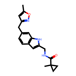 Cc1cc(Cc2ccc3cc(CNC(=O)C4(C)CC4)[nH]c3c2)no1